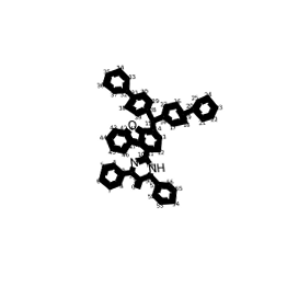 C=C1C(c2ccccc2)N=C(c2ccc(C(c3ccc(-c4ccccc4)cc3)c3ccc(-c4ccccc4)cc3)c3oc4ccccc4c23)NC1c1ccccc1